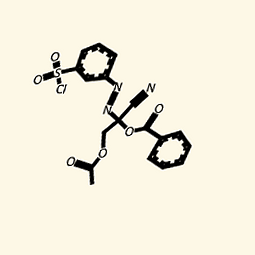 CC(=O)OCC(C#N)(N=Nc1cccc(S(=O)(=O)Cl)c1)OC(=O)c1ccccc1